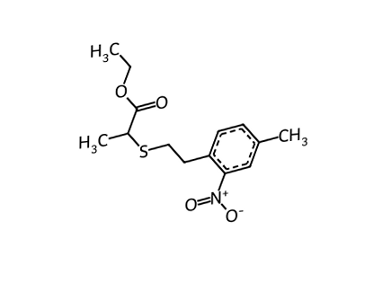 CCOC(=O)C(C)SCCc1ccc(C)cc1[N+](=O)[O-]